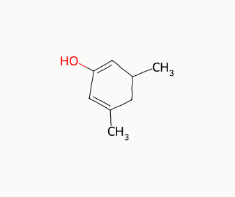 CC1=CC(O)=CC(C)C1